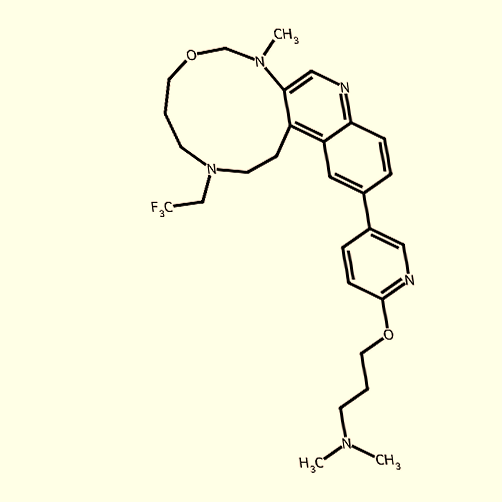 CN(C)CCCOc1ccc(-c2ccc3ncc4c(c3c2)CCN(CC(F)(F)F)CCCOCN4C)cn1